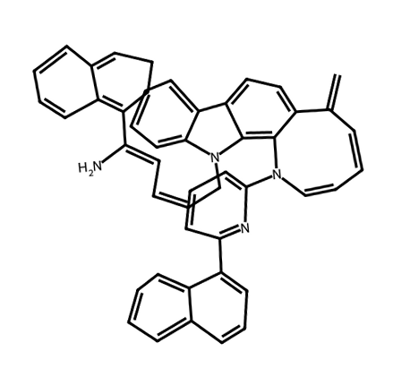 C=C1/C=C\C=C/N(c2cccc(-c3cccc4ccccc34)n2)c2c1ccc1c3ccccc3n(C/C=C\C=C(/N)C3=c4ccccc4=CCC3)c21